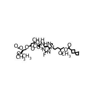 CO/C(C)=C(/COC(=O)CC(C)(C)OC(=O)Nc1nc(F)nc2c1NCN2CCC(COC(=O)C1CC2(CCC2)C1)OC)OC=O